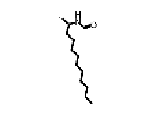 [CH2]C(CCCCCCCCCC)NC=O